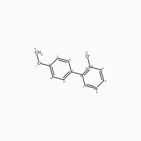 COc1ccc(-c2cncc[n+]2[O-])cc1